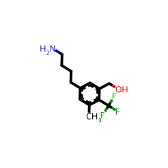 Cc1cc(CCCCN)cc(CO)c1C(F)(F)F